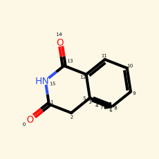 O=C1CC23CC=CC=C2C=CC=C3C(=O)N1